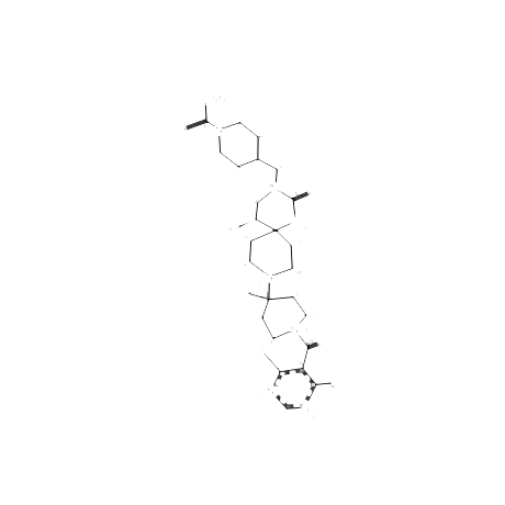 CCCC[C@H]1CN(CC2CCN(C(=O)OC)CC2)C(=O)OC12CCN(C1(C)CCN(C(=O)c3c(C)ncnc3C)CC1)CC2